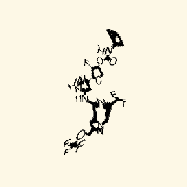 O=C(NC12CC(C1)C2)O[C@@H]1CO[C@H](c2cc(Nc3nc(C(F)F)cn4nc(COC(F)(F)F)cc34)n[nH]2)[C@@H]1F